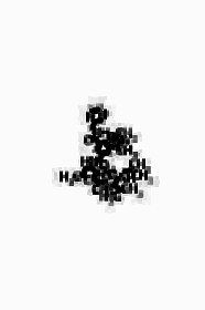 CC(C)CNC(=O)C(NC(=O)C(C)CC(O)C(CC(C)C)NC(=O)c1cc(C(=O)NCc2cnccn2)cc(N(C)S(C)(=O)=O)c1)C(C)C